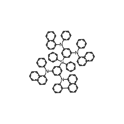 c1ccc(N(c2cc(N(c3ccccc3)c3cccc4ccccc34)cc([Si](c3ccccc3)(c3ccccc3)c3cc(N(c4ccccc4)c4cccc5ccccc45)cc(N4c5ccccc5-c5cccc6cccc4c56)c3)c2)c2cccc3ccccc23)cc1